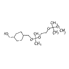 COC(C)(C)OCCOC(C)(C)OCC1CCC(CO)CC1